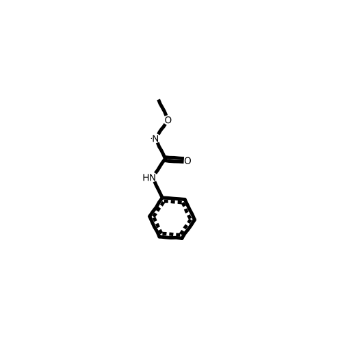 CO[N]C(=O)Nc1ccccc1